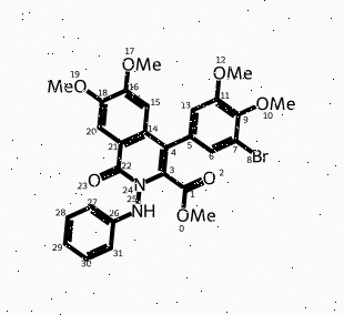 COC(=O)c1c(-c2cc(Br)c(OC)c(OC)c2)c2cc(OC)c(OC)cc2c(=O)n1Nc1ccccc1